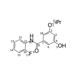 CC(C)Oc1cc(O)cc(C(=O)Nc2ccccc2F)c1